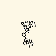 C=C/C(=C\N(C)C)c1cccc(-c2ncc(C3=CC(C)N=C3)c(NCC3CCC3)n2)c1